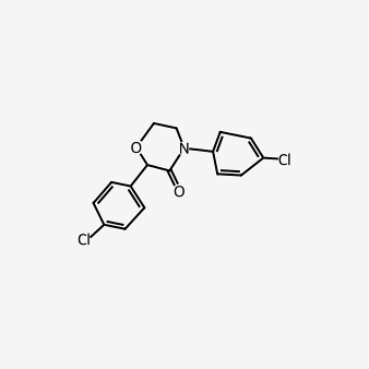 O=C1C(c2ccc(Cl)cc2)OCCN1c1ccc(Cl)cc1